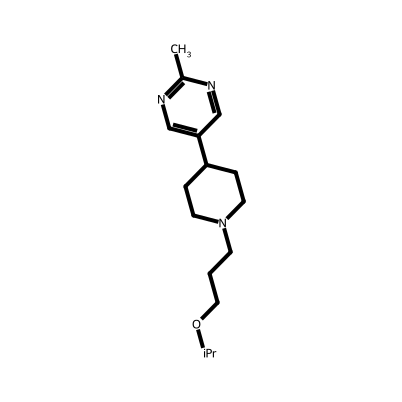 Cc1ncc(C2CCN(CCCOC(C)C)CC2)cn1